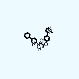 CC(Oc1ccc(-c2ccnn2C)cc1)C(=O)Nc1ccc(-c2ccccc2)cn1